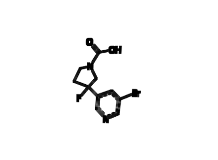 O=C(O)N1CCC(F)(c2cncc(Br)c2)C1